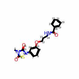 Cn1c(=O)sn(-c2cccc(OCCCNC(=O)c3ccccc3)c2)c1=O